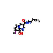 CCCCNC(=O)C1=CN=C2C(O)=C(I)C=CN2C1